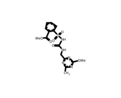 COC(=O)c1ccccc1S(=O)(=O)NC(=O)NCc1nc(C)nc(OC)n1